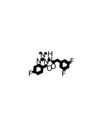 CN(C)c1nc2cc(F)ccc2c(=O)n1NC(=O)Cc1cc(F)cc(F)c1